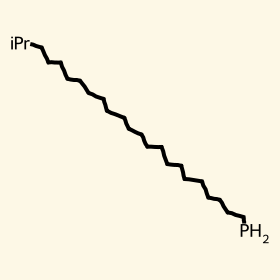 CC(C)CCCCCCCCCCCCCCCCCCCCCP